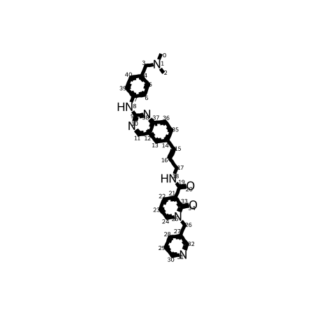 CN(C)Cc1ccc(Nc2ncc3cc(C=CCNC(=O)c4cccn(Cc5cccnc5)c4=O)ccc3n2)cc1